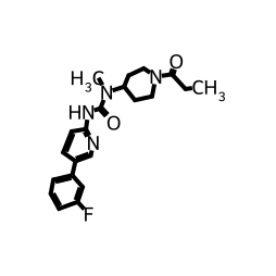 CCC(=O)N1CCC(N(C)C(=O)Nc2ccc(-c3cccc(F)c3)cn2)CC1